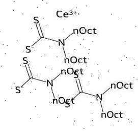 CCCCCCCCN(CCCCCCCC)C(=S)[S-].CCCCCCCCN(CCCCCCCC)C(=S)[S-].CCCCCCCCN(CCCCCCCC)C(=S)[S-].[Ce+3]